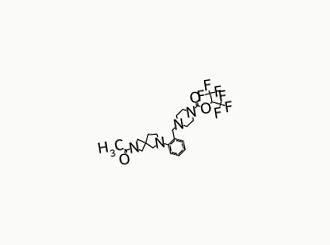 CC(=O)N1CC2(CCN(c3ccccc3CN3CCN(C(=O)OC(C(F)(F)F)C(F)(F)F)CC3)C2)C1